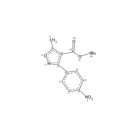 Cc1onc(-c2ccc([N+](=O)[O-])cc2)c1C(=O)OC(C)(C)C